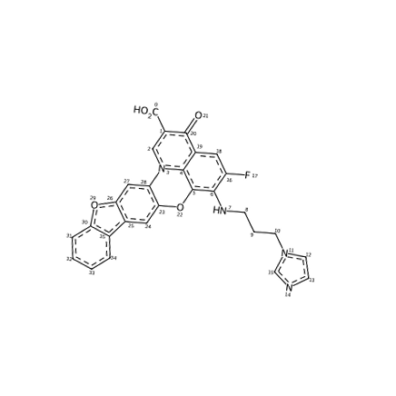 O=C(O)c1cn2c3c(c(NCCCn4ccnc4)c(F)cc3c1=O)Oc1cc3c(cc1-2)oc1ccccc13